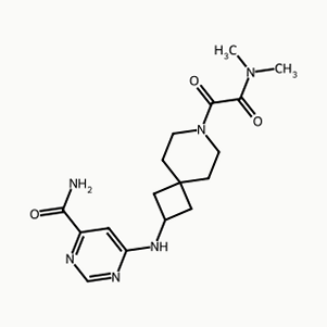 CN(C)C(=O)C(=O)N1CCC2(CC1)CC(Nc1cc(C(N)=O)ncn1)C2